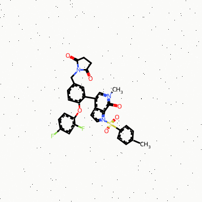 Cc1ccc(S(=O)(=O)n2ccc3c(-c4cc(CN5C(=O)CCC5=O)ccc4Oc4ccc(F)cc4F)cn(C)c(=O)c32)cc1